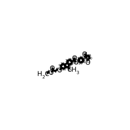 C=COC(=O)CCOc1ccc2c(c1)C(C)c1cc(C(=O)Oc3ccc(N4C(=O)C=CC4=O)cc3)ccc1-2